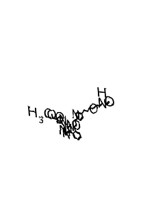 COCc1cc(-c2nnc3c4ccccc4c(OCc4ccc(CCCOCCNC=O)cn4)nn23)no1